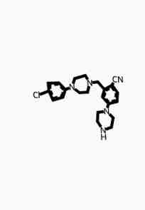 N#Cc1ccc(N2CCNCC2)cc1CN1CCN(c2ccc(Cl)cc2)CC1